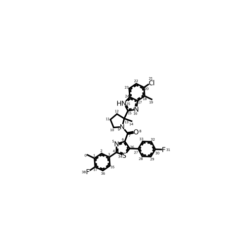 Cc1cc(-c2nc(C(=O)N3CCCC3(C)c3nc4c(C)c(Cl)ccc4[nH]3)c(-c3ccc(F)cc3)s2)ccc1F